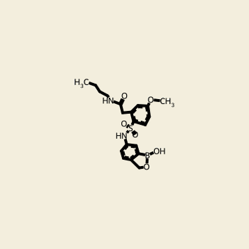 CCCCNC(=O)Cc1cc(OC)ccc1S(=O)(=O)Nc1ccc2c(c1)B(O)OC2